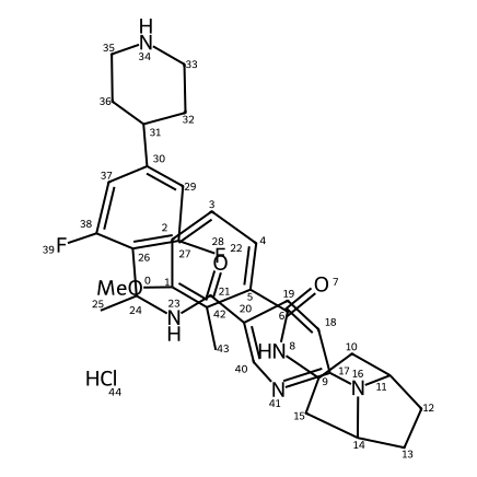 COc1cccc(C(=O)NC2CC3CCC(C2)N3c2ccc(C(=O)NC(C)c3c(F)cc(C4CCNCC4)cc3F)cn2)c1C.Cl